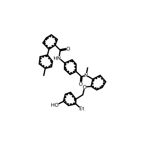 CCc1cc(O)ccc1COc1ccccc1N(C)C(=O)c1ccc(NC(=O)c2ccccc2-c2ccc(C)cc2)cc1